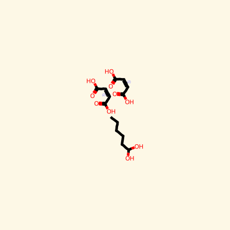 CCCCCC(O)O.O=C(O)/C=C\C(=O)O.O=C(O)/C=C\C(=O)O